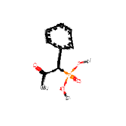 CCCCC(=O)C(c1ccccc1)P(=O)(OCC)OCC